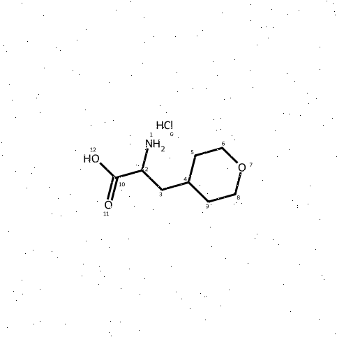 Cl.NC(CC1CCOCC1)C(=O)O